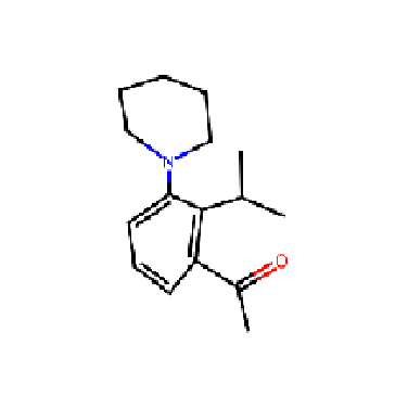 CC(=O)c1cccc(N2CCCCC2)c1C(C)C